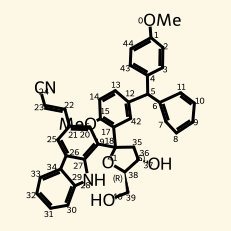 COc1ccc(C(c2ccccc2)c2ccc(OC)c(C3(c4cc(C=CC#N)cc5c4[nH]c4ccccc45)C[C@H](O)[C@@H](CO)O3)c2)cc1